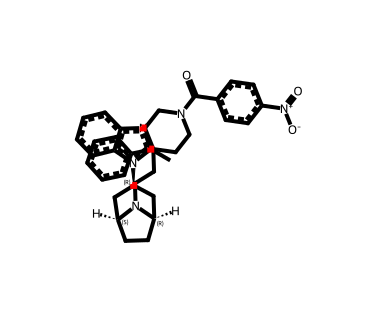 Cc1nc2ccccc2n1[C@H]1C[C@H]2CC[C@@H](C1)N2CCC1(c2ccccc2)CCN(C(=O)c2ccc([N+](=O)[O-])cc2)CC1